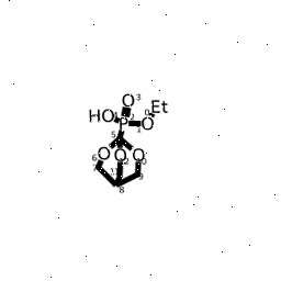 CCOP(=O)(O)C12OCC(CO1)CO2